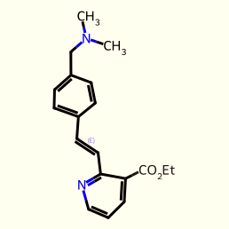 CCOC(=O)c1cccnc1/C=C/c1ccc(CN(C)C)cc1